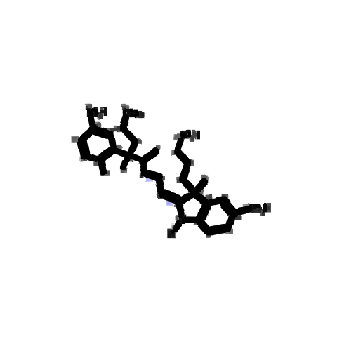 C=C(/C=C/C=C1/N(CC)c2ccc(S(=O)(=O)O)cc2C1(C)CCCS(=O)(=O)O)C(C)(CCOC)c1cc(S(=O)(=O)O)ccc1C